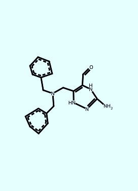 NC1=NNC(CN(Cc2ccccc2)Cc2ccccc2)=C(C=O)N1